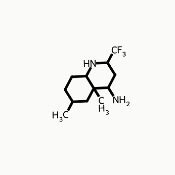 CC1CCC2NC(C(F)(F)F)CC(N)C2(C)C1